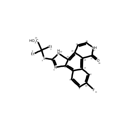 CCC(CC)(Sc1nc2c3ccc(F)cc3c3c(=O)[nH]ccc3c2[nH]1)C(=O)O